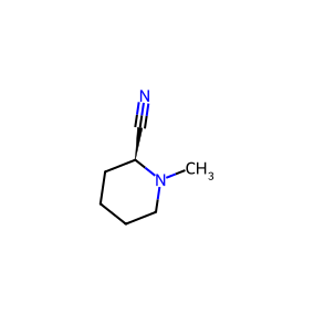 CN1CCCC[C@H]1C#N